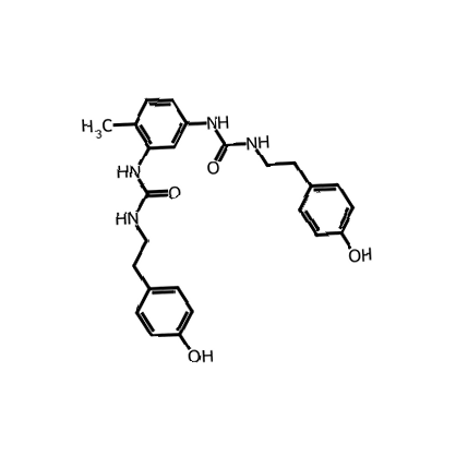 Cc1ccc(NC(=O)NCCc2ccc(O)cc2)cc1NC(=O)NCCc1ccc(O)cc1